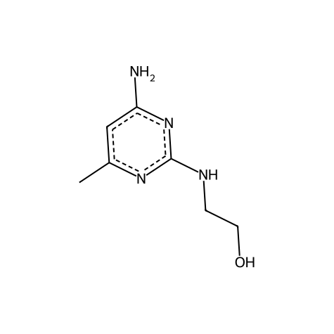 Cc1cc(N)nc(NCCO)n1